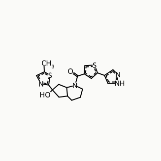 Cc1cnc(C2(O)CC3CCCN(C(=O)c4csc(-c5cn[nH]c5)c4)C3C2)s1